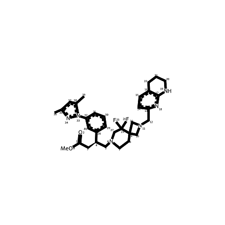 COC(=O)C[C@H](CN1CCC2(CN(Cc3ccc4c(n3)NCCC4)C2)C(F)(F)C1)c1cccc(-n2nc(C)cc2C)c1